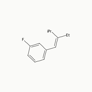 CC/C(=C/c1cccc(F)c1)C(C)C